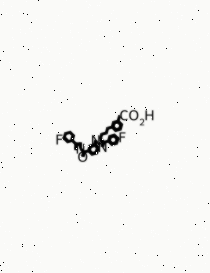 O=C(O)Cc1cccc(CCCc2nc3cc(C(=O)N4CC(C5=CCCC(F)=C5)C4)ccc3nc2-c2ccc(F)cc2)c1